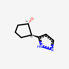 [O][C@H]1CCC[C@@H]1c1ccn[nH]1